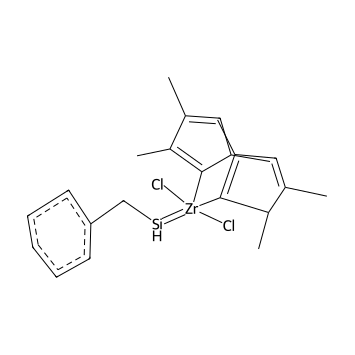 CC1=CC(C)[C]([Zr]([Cl])([Cl])(=[SiH]Cc2ccccc2)[C]2=C(C)C=C(C)C2C)=C1C